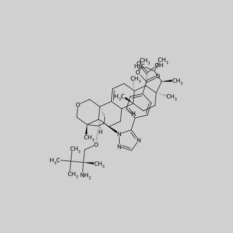 COC(=O)c1ccc(-c2ncnn2[C@@H]2C[C@@]34COC[C@](C)([C@@H]3CC[C@H]3C4=CC[C@@]4(C)[C@H](C(=O)O)[C@@](C)([C@H](C)C(C)C)CC[C@]34C)[C@H]2OC[C@](C)(N)C(C)(C)C)cc1